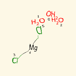 O.O.O.[Cl][Mg][Cl]